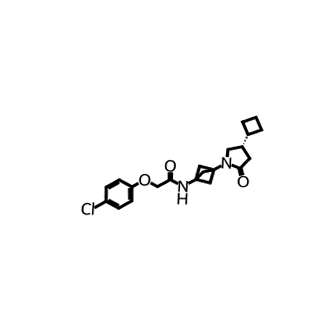 O=C(COc1ccc(Cl)cc1)NC12CC(N3C[C@H](C4CCC4)CC3=O)(C1)C2